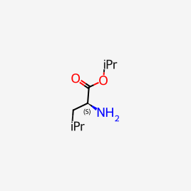 CC(C)C[C@H](N)C(=O)OC(C)C